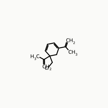 [Li][CH2]C1(C(=C)C)C=CC=C(C(=C)C)C1